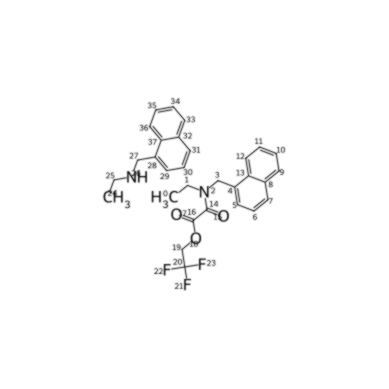 CCN(Cc1cccc2ccccc12)C(=O)C(=O)OCC(F)(F)F.CCNCc1cccc2ccccc12